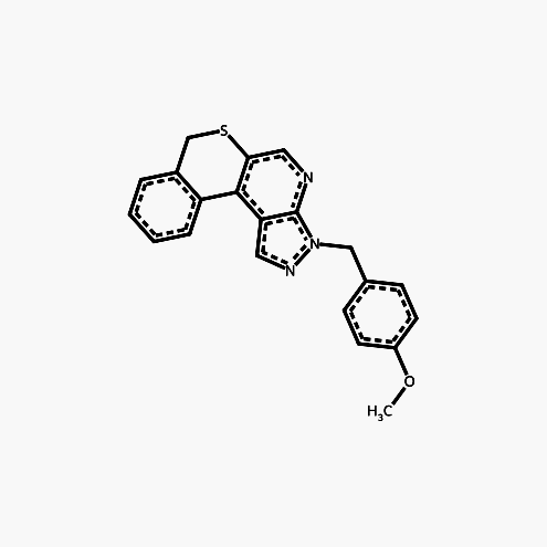 COc1ccc(Cn2ncc3c4c(cnc32)SCc2ccccc2-4)cc1